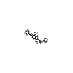 COc1cc([C@@H](CO)NC(=O)OCc2ccccc2)ccc1OCc1ccccc1